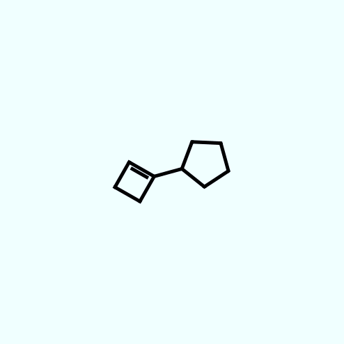 C1=C(C2CCCC2)CC1